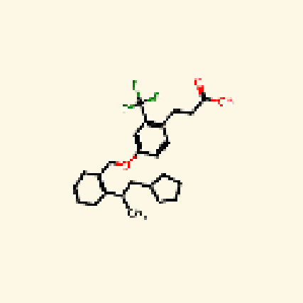 CC(CC1CCCC1)C1=C(COc2ccc(CCC(=O)O)c(C(F)(F)F)c2)CCCC1